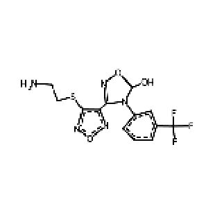 NCCSc1nonc1C1=NOC(O)N1c1cccc(C(F)(F)F)c1